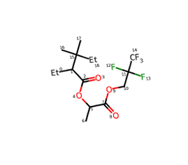 CCC(C(=O)OC(C)C(=O)OCC(F)(F)C(F)(F)F)C(C)(C)CC